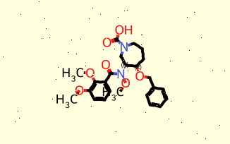 COc1cccc(C(=O)N(OC)[C@@H]2CN(C(=O)O)CCC[C@H]2OCc2ccccc2)c1OC